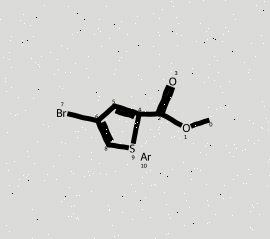 COC(=O)c1cc(Br)cs1.[Ar]